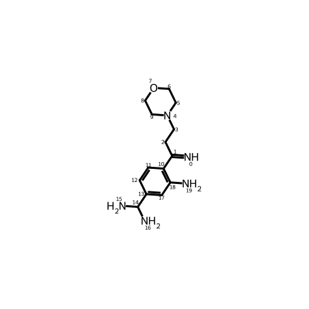 N=C(CCN1CCOCC1)c1ccc(C(N)N)cc1N